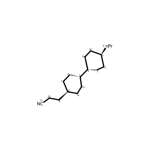 CCC[C@H]1CC[C@H]([C@H]2CC[C@H](CCC#N)CC2)CC1